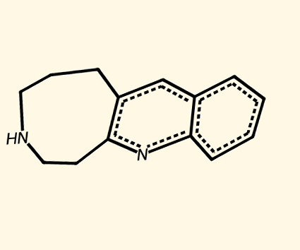 c1ccc2nc3c(cc2c1)CCCNCC3